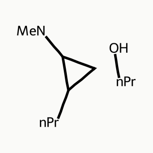 CCCC1CC1NC.CCCO